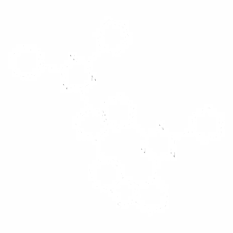 c1ccc(-c2nc(-c3ccccc3)nc(-c3ccc(-c4ccc5sc6cccc(-c7nc(-c8ccccc8)nc(-c8ccccc8)n7)c6c5c4)cc3)n2)cc1